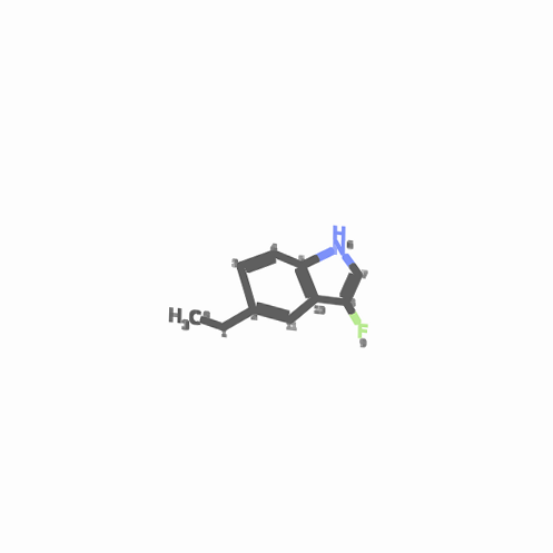 CCc1ccc2[nH]cc(F)c2c1